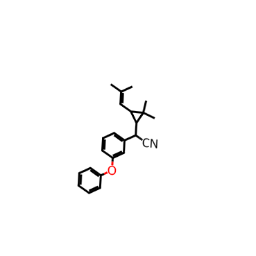 CC(C)=CC1C(C(C#N)c2cccc(Oc3ccccc3)c2)C1(C)C